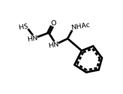 CC(=O)NC(NC(=O)NS)c1ccccc1